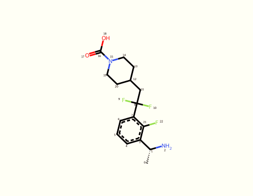 C[C@@H](N)c1cccc(C(F)(F)CC2CCN(C(=O)O)CC2)c1F